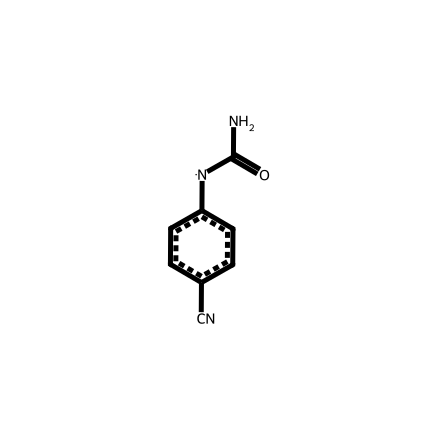 N#Cc1ccc([N]C(N)=O)cc1